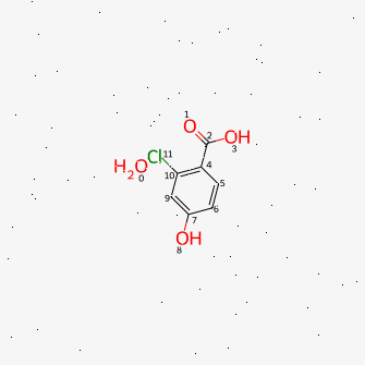 O.O=C(O)c1ccc(O)cc1Cl